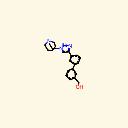 OCc1cccc(-c2cccc(-c3cn(C4CN5CCC4CC5)nn3)c2)c1